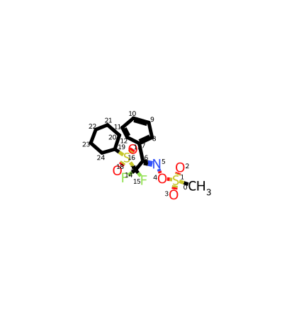 CS(=O)(=O)ON=C(c1ccccc1)C(F)(F)S(=O)(=O)C1CCCCC1